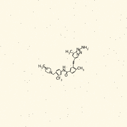 Cc1ccc(C(=O)Nc2ccc(CN3CCN(C)CC3)c(C(F)(F)F)c2)cc1C#Cc1cc(C)c2nc(N)nn2c1